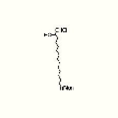 CCCCCCCCCCCCCCCCCCCCCC(O)C=O